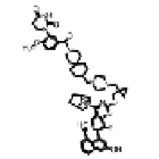 C#Cc1cccc2cc(O)cc(-c3ncc4c(N5CC6CCC(C5)N6)nc(OCC5(CN6CCN(CC7CCC8(CC7)CCN(C(=O)c7ccc(OC)c(N9CCC(=O)NC9=O)c7)CC8)CC6)CC5)nc4c3F)c12